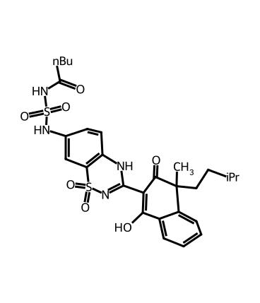 CCCCC(=O)NS(=O)(=O)Nc1ccc2c(c1)S(=O)(=O)N=C(C1=C(O)c3ccccc3C(C)(CCC(C)C)C1=O)N2